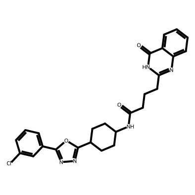 O=C(CCCc1nc2ccccc2c(=O)[nH]1)NC1CCC(c2nnc(-c3cccc(Cl)c3)o2)CC1